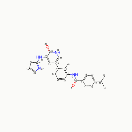 CC1=C(NC(=O)c2ccc(C(C)C)cc2)C=CCC1c1c[nH]c(=O)c(NC2=NC=CC2)c1